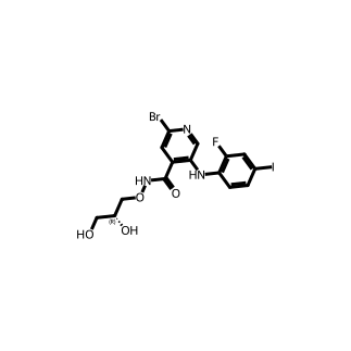 O=C(NOC[C@H](O)CO)c1cc(Br)ncc1Nc1ccc(I)cc1F